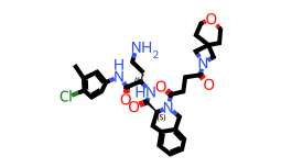 Cc1cc(NC(=O)[C@H](CCN)NC(=O)[C@@H]2Cc3ccccc3CN2C(=O)CCC(=O)N2CC3(CCOCC3)C2)ccc1Cl